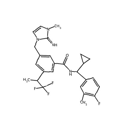 Cc1cc(C(NC(=O)c2cc(Cn3ccn(C)c3=N)cc(C(C)C(F)(F)F)c2)C2CC2)ccc1F